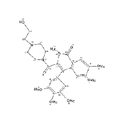 COc1cc2c(-c3cc(OC)c(OC)c(OC)c3)c(C(=O)N3CCN(CCO)CC3)n(C)c(=O)c2cc1OC